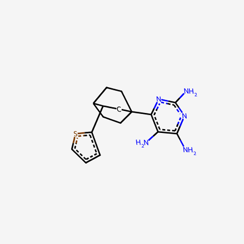 Nc1nc(N)c(N)c(C23CCC(CC2)C(c2cccs2)C3)n1